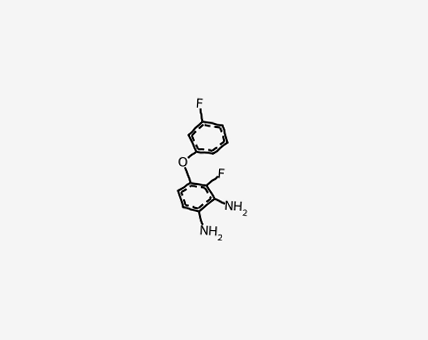 Nc1ccc(Oc2cccc(F)c2)c(F)c1N